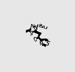 CCCCN1N=C(C)SC1=CC(=O)c1cscn1